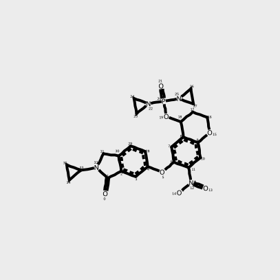 O=C1c2cc(Oc3cc4c(cc3[N+](=O)[O-])OCCC4OP(=O)(N3CC3)N3CC3)ccc2CN1C1CC1